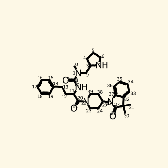 CN(CC1CCCN1)C(=O)NC(CCc1ccccc1)C(=O)N1CCC(N2C(=O)C(C)(C)c3ccccc32)CC1